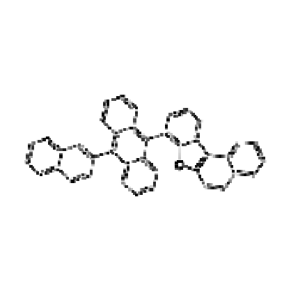 c1ccc2cc(-c3c4ccccc4c(-c4cccc5c4oc4ccc6ccccc6c45)c4ccccc34)ccc2c1